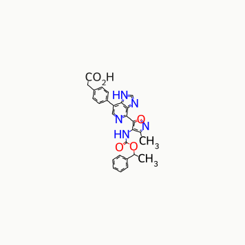 Cc1noc(-c2ncc(-c3ccc(CC(=O)O)cc3)c3[nH]cnc23)c1NC(=O)OC(C)c1ccccc1